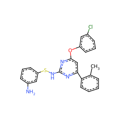 Cc1ccccc1-c1cc(Oc2cccc(Cl)c2)nc(NSc2cccc(N)c2)n1